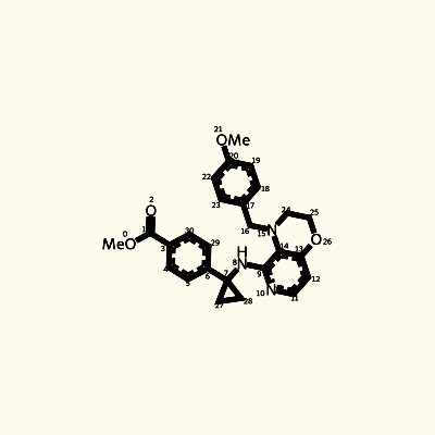 COC(=O)c1ccc(C2(Nc3nccc4c3N(Cc3ccc(OC)cc3)CCO4)CC2)cc1